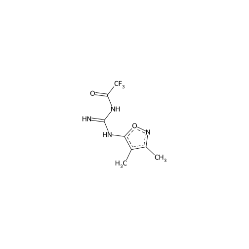 Cc1noc(NC(=N)NC(=O)C(F)(F)F)c1C